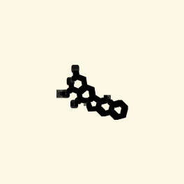 O=C1Cc2cc3n(c(=O)c2C(O)O1)Cc1cc2ccccc2nc1-3